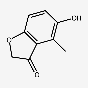 Cc1c(O)ccc2c1C(=O)CO2